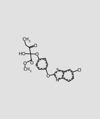 CCC(=O)C(O)(Oc1ccc(Oc2nc3ccc(Cl)cc3s2)cc1)C(=O)OC